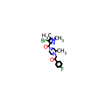 Cc1c(Br)c(C(=O)N2CCN(CC(=O)c3ccc(F)cc3)C(C)C2)nn1C